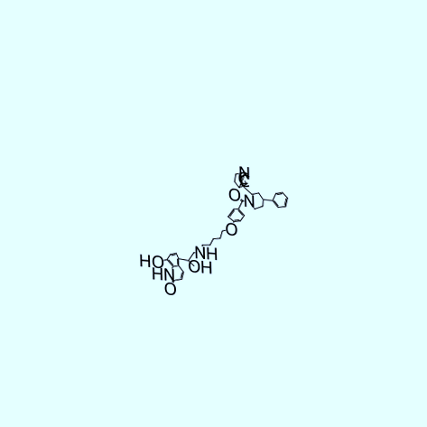 O=C(c1ccc(OCCCCCNCC(O)c2ccc(O)c3[nH]c(=O)ccc23)cc1)N1CCC(c2ccccc2)CC1C1CN2CCC1CC2